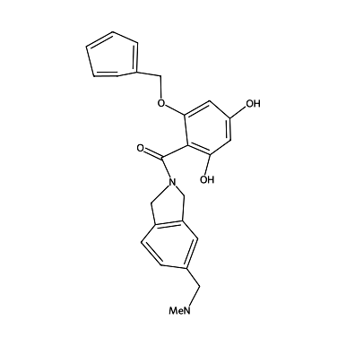 CNCc1ccc2c(c1)CN(C(=O)c1c(O)cc(O)cc1OCc1ccccc1)C2